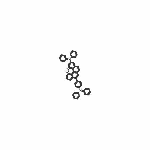 c1ccc(N(c2ccccc2)c2ccc(-c3cc4ccc5cc(N(c6ccccc6)c6ccccc6)cc6c5c4c4c(cccc34)O6)cc2)cc1